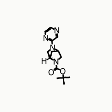 CC(C)(C)OC(=O)N1CC2C[C@H]1CN2c1cnccn1